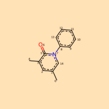 Cc1cc(C)c(=O)n(-c2ccccc2)c1